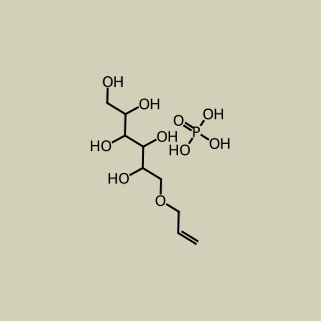 C=CCOCC(O)C(O)C(O)C(O)CO.O=P(O)(O)O